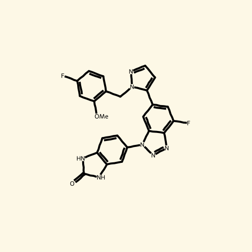 COc1cc(F)ccc1Cn1nccc1-c1cc(F)c2nnn(-c3ccc4[nH]c(=O)[nH]c4c3)c2c1